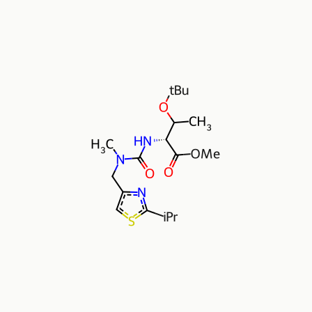 COC(=O)[C@H](NC(=O)N(C)Cc1csc(C(C)C)n1)C(C)OC(C)(C)C